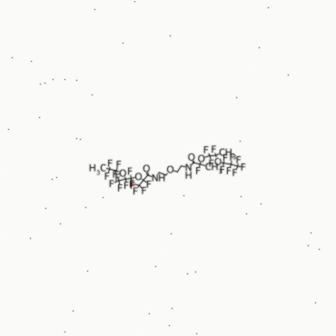 CC(F)(OC(F)(F)C(C)(F)OC(F)(F)C(F)(F)C(F)(F)F)C(=O)NCCOCCNC(=O)C(F)(OC(F)(F)C(F)(OC(F)(F)C(C)(F)F)C(F)(F)F)C(F)(F)F